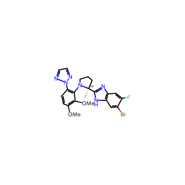 COc1c[c]c(-n2nccn2)c(N2CCC[C@@]2(C)c2nc3cc(F)c(Br)cc3[nH]2)c1OC